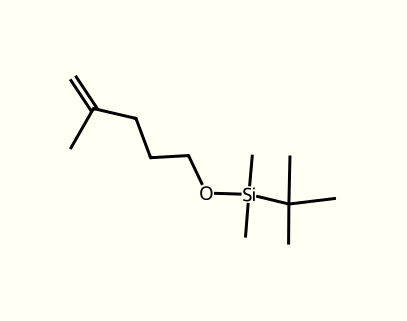 C=C(C)CCCO[Si](C)(C)C(C)(C)C